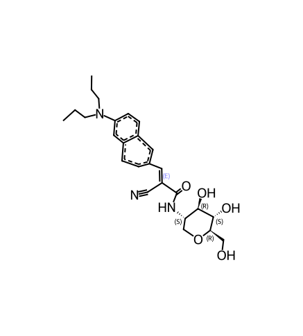 CCCN(CCC)c1ccc2cc(/C=C(\C#N)C(=O)N[C@H]3CO[C@H](CO)[C@@H](O)[C@@H]3O)ccc2c1